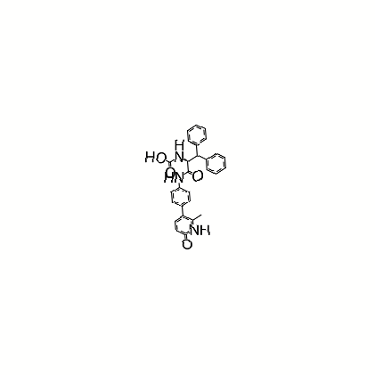 Cc1[nH]c(=O)ccc1-c1ccc(NC(=O)[C@@H](NC(=O)O)C(c2ccccc2)c2ccccc2)cc1